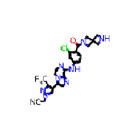 N#CCn1cc(-c2cnc3c(Nc4ccc(C(=O)N5CC6(CNC6)C5)c(Cl)c4)nccn23)c(C(F)(F)F)n1